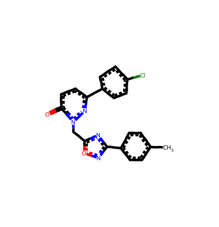 Cc1ccc(-c2noc(Cn3nc(-c4ccc(Cl)cc4)ccc3=O)n2)cc1